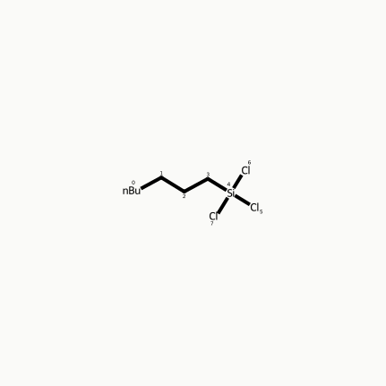 [CH2]CCCCCC[Si](Cl)(Cl)Cl